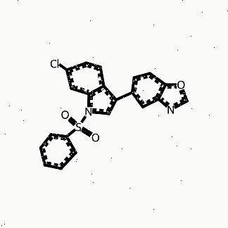 O=S(=O)(c1ccccc1)n1cc(-c2ccc3ocnc3c2)c2ccc(Cl)cc21